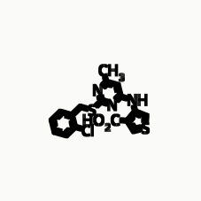 Cc1cc(Nc2cscc2C(=O)O)nc(SCc2ccccc2Cl)n1